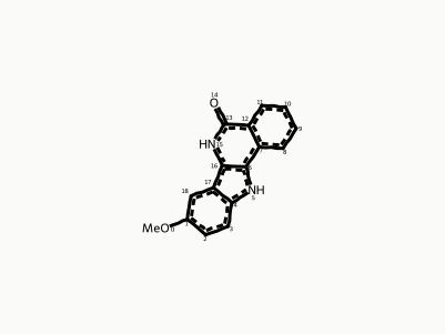 COc1ccc2[nH]c3c4ccccc4c(=O)[nH]c3c2c1